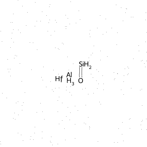 O=[SiH2].[AlH3].[Hf]